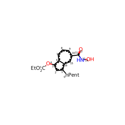 CCCCCc1cc(OC(=O)OCC)c2cccc(C(=O)NO)cc1-2